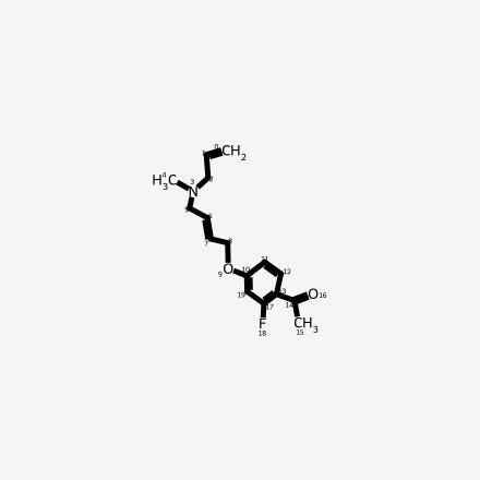 C=CCN(C)C/C=C/COc1ccc(C(C)=O)c(F)c1